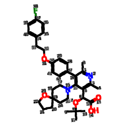 Cc1nc(C)c([C@H](OC(C)(C)C)C(=O)O)c(N2CCC3(CCCO3)CC2)c1-c1ccc(OCCc2ccc(F)cc2)cc1